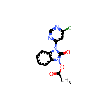 CC(=O)On1c(=O)n(-c2cc(Cl)ncn2)c2ccccc21